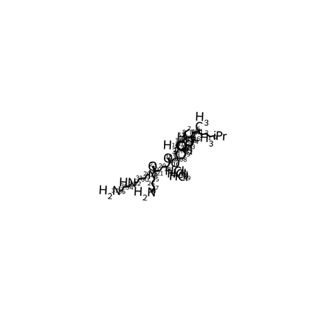 CC(C)CCC[C@@H](C)[C@H]1CC[C@H]2[C@@H]3CC=C4C[C@@H](OC(=O)CCCC(=O)N(CCCN)CCCCNCCCN)CC[C@]4(C)[C@H]3CC[C@]12C.Cl.Cl.Cl